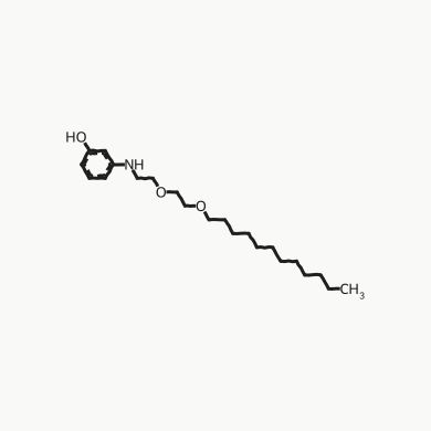 CCCCCCCCCCCCOCCOCCNc1cccc(O)c1